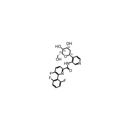 O=C(Nc1cnccc1[C@@H]1C[C@@H](O)[C@H](O)[C@@H](CO)O1)c1ccc(F)c(-c2c(F)cccc2F)n1